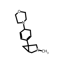 CN1CC2CC2(C2=CCC(N3CCOCC3)C=C2)C1